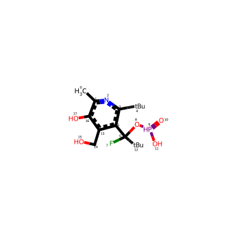 Cc1nc(C(C)(C)C)c(C(F)(O[PH](=O)O)C(C)(C)C)c(CO)c1O